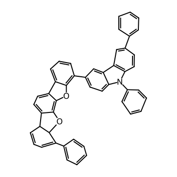 C1=CC2c3ccc4c(oc5c(-c6ccc7c(c6)c6cc(-c8ccccc8)ccc6n7-c6ccccc6)cccc54)c3OC2C(c2ccccc2)=C1